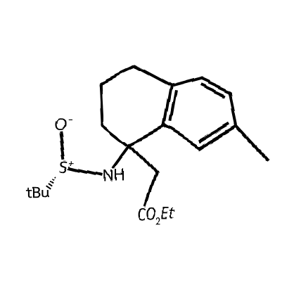 CCOC(=O)CC1(N[S@@+]([O-])C(C)(C)C)CCCc2ccc(C)cc21